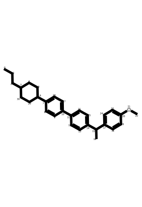 CCCC1CCC(c2ccc(-c3ccc(C(C)c4ccc(OC)cc4)cc3)cc2)CC1